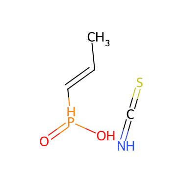 CC=C[PH](=O)O.N=C=S